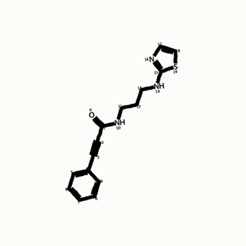 O=C(C#Cc1ccccc1)NCCCNc1nccs1